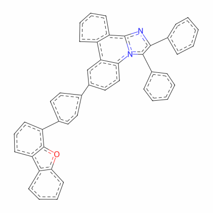 c1ccc(-c2nc3c4ccccc4c4cc(-c5ccc(-c6cccc7c6oc6ccccc67)cc5)ccc4n3c2-c2ccccc2)cc1